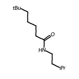 CC(C)CCNC(=O)CCCCC(C)(C)C